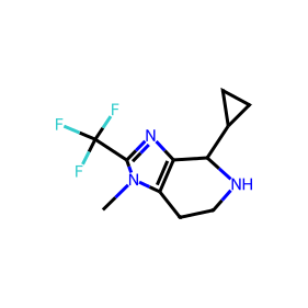 Cn1c(C(F)(F)F)nc2c1CCNC2C1CC1